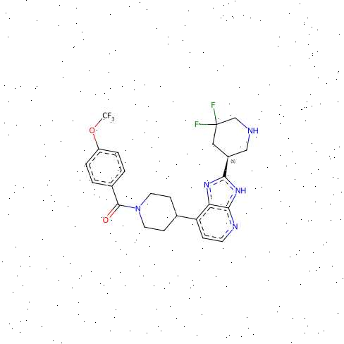 O=C(c1ccc(OC(F)(F)F)cc1)N1CCC(c2ccnc3[nH]c([C@@H]4CNCC(F)(F)C4)nc23)CC1